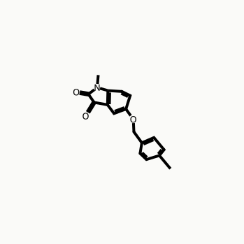 Cc1ccc(COc2ccc3c(c2)C(=O)C(=O)N3C)cc1